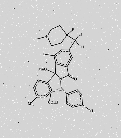 CCOC(=O)C[C@@H](c1ccc(Cl)cc1)N1C(=O)c2cc(C(O)(CC)C3(F)CCN(C)CC3)cc(F)c2C1(OC)c1ccc(Cl)cc1